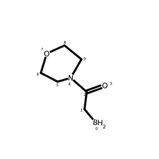 BCC(=O)N1CCOCC1